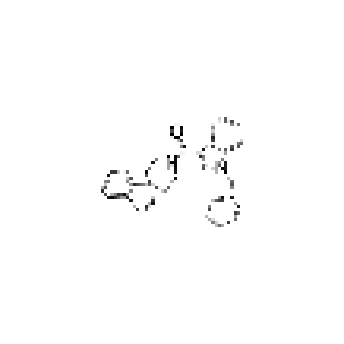 O=C(c1cn(Cc2ccccc2)c2ccccc12)N1CCC2(C=Cc3ccccc32)CC1